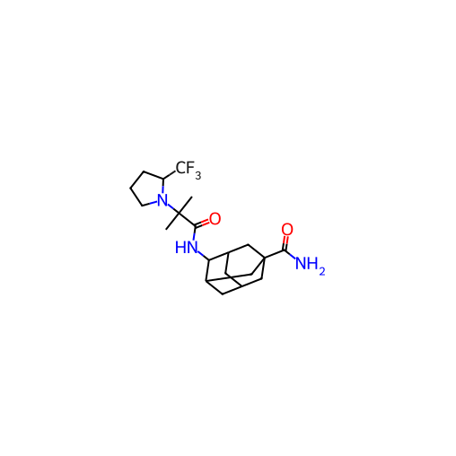 CC(C)(C(=O)NC1C2CC3CC1CC(C(N)=O)(C3)C2)N1CCCC1C(F)(F)F